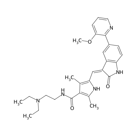 CCN(CC)CCNC(=O)c1c(C)[nH]c(/C=C2\C(=O)Nc3ccc(-c4ncccc4OC)cc32)c1C